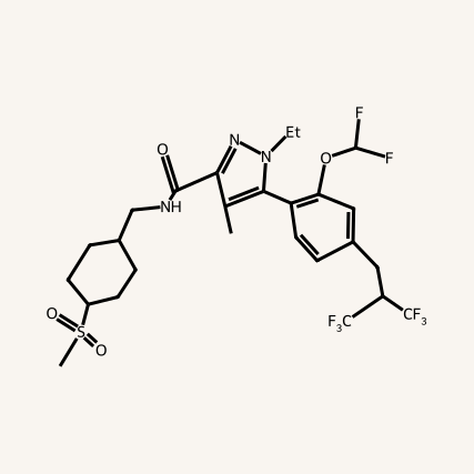 CCn1nc(C(=O)NCC2CCC(S(C)(=O)=O)CC2)c(C)c1-c1ccc(CC(C(F)(F)F)C(F)(F)F)cc1OC(F)F